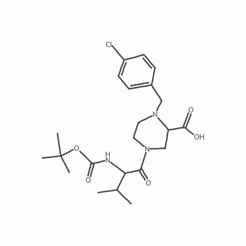 CC(C)C(NC(=O)OC(C)(C)C)C(=O)N1CCN(Cc2ccc(Cl)cc2)C(C(=O)O)C1